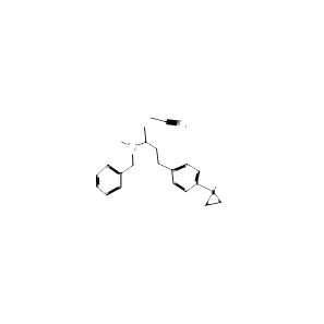 CC#N.CC(CCc1ccc(C2(Cl)CC2)cc1)N(C)Cc1ccccc1